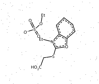 CCOS(=O)(=O)[O-].CC[n+]1c(SCC(=O)O)oc2ccccc21